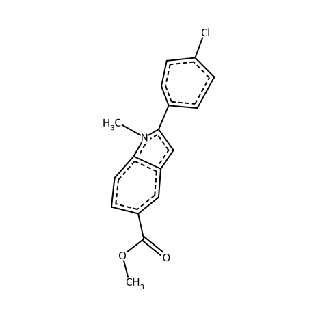 COC(=O)c1ccc2c(c1)cc(-c1ccc(Cl)cc1)n2C